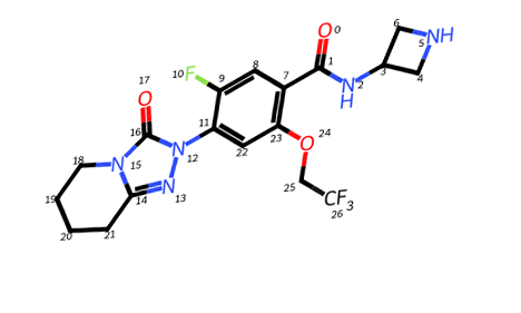 O=C(NC1CNC1)c1cc(F)c(-n2nc3n(c2=O)CCCC3)cc1OCC(F)(F)F